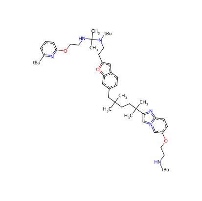 CC(C)(CCC(C)(C)c1cn2cc(OCCNC(C)(C)C)ccc2n1)Cc1ccc2cc(CCN(C(C)(C)C)C(C)(C)NCCOc3cccc(C(C)(C)C)n3)oc2c1